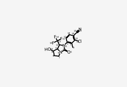 Cc1c(N2C(=O)N3CCC(O)C3C2C(F)(F)F)ccc(C#N)c1Cl